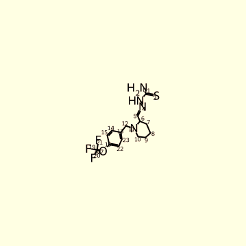 NC(=S)N/N=C/C1CCCCN1Cc1ccc(OC(F)(F)F)cc1